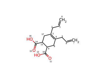 C=CCC1=C(CC=C)CC(C(=O)O)C(C(=O)O)C1